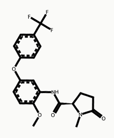 COc1ccc(Oc2ccc(C(F)(F)F)cc2)cc1NC(=O)[C@H]1CCC(=O)N1C